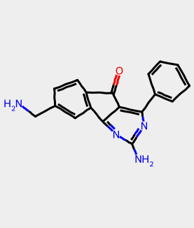 NCc1ccc2c(c1)-c1nc(N)nc(-c3ccccc3)c1C2=O